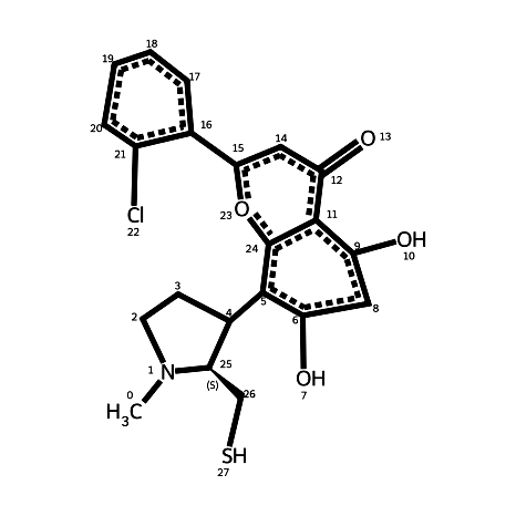 CN1CCC(c2c(O)cc(O)c3c(=O)cc(-c4ccccc4Cl)oc23)[C@H]1CS